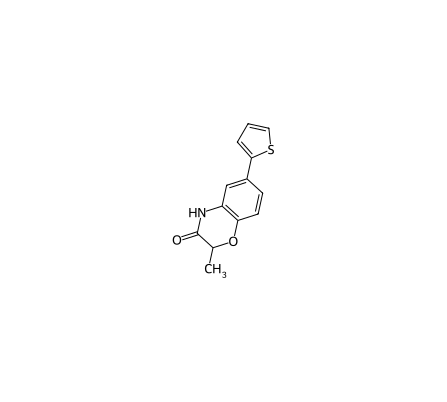 CC1Oc2ccc(-c3cccs3)cc2NC1=O